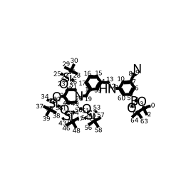 CC1(C)OB(c2cc(C#N)cc(NCc3cccc(CN4CC(O[Si](C)(C)C(C)(C)C)C(O[Si](C)(C)C(C)(C)C)C(O[Si](C)(C)C(C)(C)C)[C@H]4CO[Si](C)(C)C(C)(C)C)c3)c2)OC1(C)C